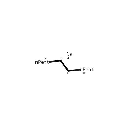 CCCCCCCCCCCC.[Ca]